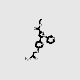 CCOC(=O)c1cc(-c2ccc(OCC(N)=O)cn2)n(-c2cccnc2)n1